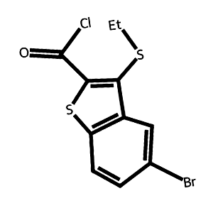 CCSc1c(C(=O)Cl)sc2ccc(Br)cc12